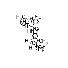 Cc1cc(NC(=O)[C@@H](NC(=O)c2ccnn2C(C)C)C2CCC(F)(F)CC2)c(F)cc1C(C)C(=O)N(C)CC(F)(F)F